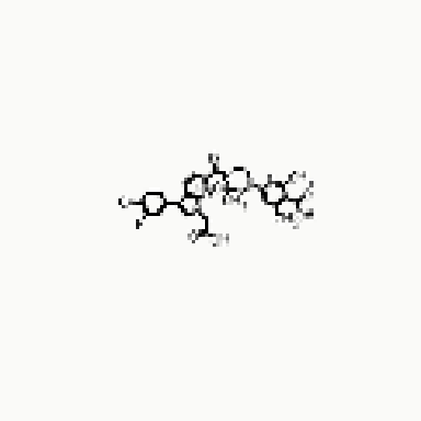 Cc1cc(N2CCN(C(=O)c3ccc4c(-c5ccc(Cl)c(F)c5)cn(CC(=O)O)c4n3)C(C)(C)C2)nc(C)c1C(=O)O